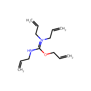 C=CCNC(OCC=C)=[N+](CC=C)CC=C